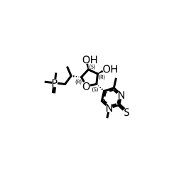 C=P(C)(C)CC(C)[C@H]1O[C@@H](c2cn(C)c(=S)nc2C)[C@H](O)[C@@H]1O